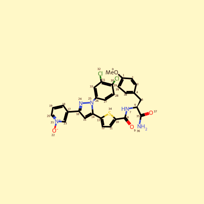 COc1ccc(C[C@H](NC(=O)c2ccc(-c3cc(-c4ccc[n+]([O-])c4)nn3-c3ccc(Cl)c(Cl)c3)s2)C(N)=O)cc1